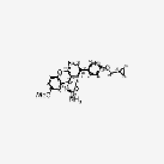 COc1ccc2c(c1)[C@@]1(COC(N)=N1)c1cc(-c3ccc(OCC4CC4)nc3)cnc1O2